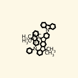 CC1(C)c2ccccc2-c2ccc(N(c3ccccc3)c3cccc4c3-c3cc5c(cc3C4(C)C)-c3ccc(-n4c6ccccc6c6ccccc64)cc3C5(C)C)cc21